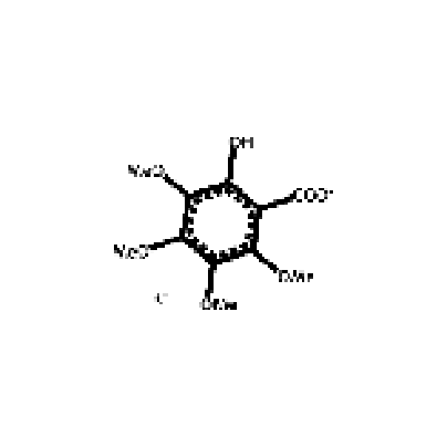 COc1c(O)c(C(=O)[O-])c(OC)c(OC)c1OC.[K+]